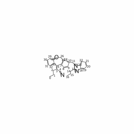 CCCC(C#N)=C1c2ccc(Cn3c(CCC)nc4ccccc43)cc2COc2ccccc21